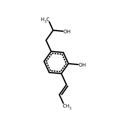 CC=Cc1ccc(CC(C)O)cc1O